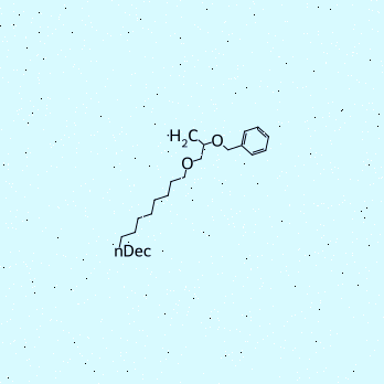 [CH2]C(COCCCCCCCCCCCCCCCCCC)OCc1ccccc1